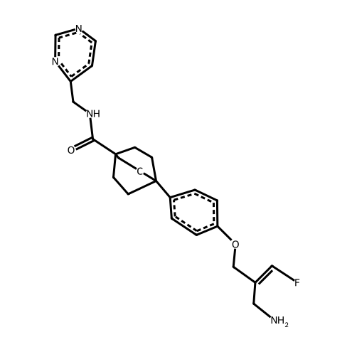 NCC(=CF)COc1ccc(C23CCC(C(=O)NCc4ccncn4)(CC2)CC3)cc1